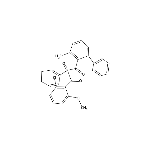 COc1cccc(Cl)c1C(=O)P(=O)(C(=O)c1c(C)cccc1-c1ccccc1)c1ccccc1